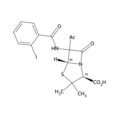 CC(=O)C1(NC(=O)c2ccccc2I)C(=O)N2[C@@H](C(=O)O)C(C)(C)S[C@@H]21